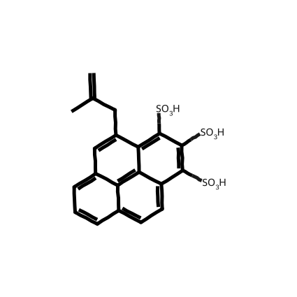 C=C(C)Cc1cc2cccc3ccc4c(S(=O)(=O)O)c(S(=O)(=O)O)c(S(=O)(=O)O)c1c4c32